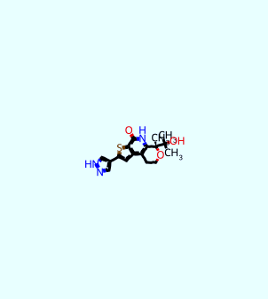 CC(C)(O)[C@]1(C)OCCc2c1[nH]c(=O)c1sc(-c3cn[nH]c3)cc21